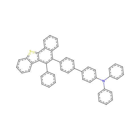 c1ccc(-c2c(-c3ccc(-c4ccc(N(c5ccccc5)c5ccccc5)cc4)cc3)c3ccccc3c3sc4ccccc4c23)cc1